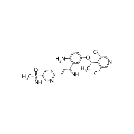 CC(Oc1ccc(N)c(C(=N)/C=C/c2ccc(S(C)(=N)=O)cn2)c1)c1c(Cl)cncc1Cl